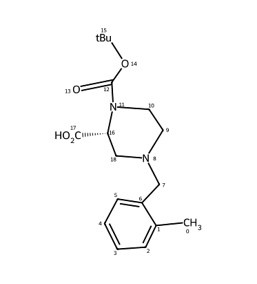 Cc1ccccc1CN1CCN(C(=O)OC(C)(C)C)[C@@H](C(=O)O)C1